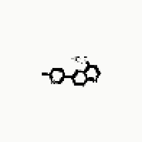 Cc1ccc(-c2ccc3nccc(C(=O)O)c3c2)cn1